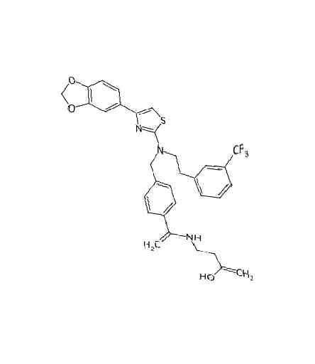 C=C(O)CCNC(=C)c1ccc(CN(CCc2cccc(C(F)(F)F)c2)c2nc(-c3ccc4c(c3)OCO4)cs2)cc1